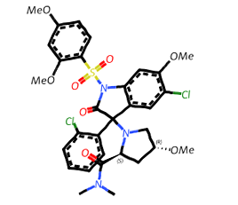 COc1ccc(S(=O)(=O)N2C(=O)C(c3ccccc3Cl)(N3C[C@H](OC)C[C@H]3C(=O)N(C)C)c3cc(Cl)c(OC)cc32)c(OC)c1